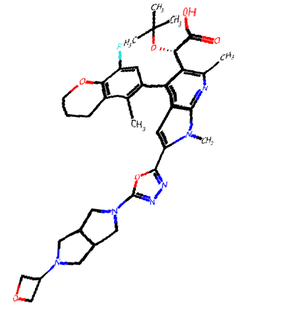 Cc1nc2c(cc(-c3nnc(N4CC5CN(C6COC6)CC5C4)o3)n2C)c(-c2cc(F)c3c(c2C)CCCO3)c1[C@H](OC(C)(C)C)C(=O)O